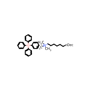 CCCCCCCCCCCCCCCC[N+](C)(C)C.c1ccc([B-](c2ccccc2)(c2ccccc2)c2ccccc2)cc1